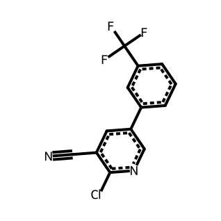 N#Cc1cc(-c2cccc(C(F)(F)F)c2)cnc1Cl